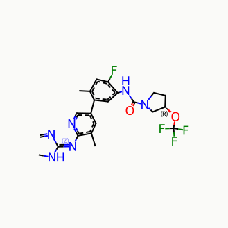 C=N/C(=N\c1ncc(-c2cc(NC(=O)N3CC[C@@H](OC(F)(F)F)C3)c(F)cc2C)cc1C)NC